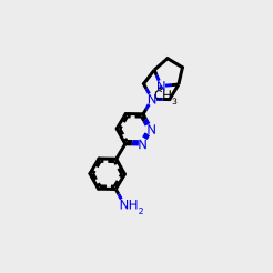 CN1C2CCC1CN(c1ccc(-c3cccc(N)c3)nn1)C2